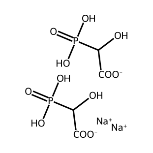 O=C([O-])C(O)P(=O)(O)O.O=C([O-])C(O)P(=O)(O)O.[Na+].[Na+]